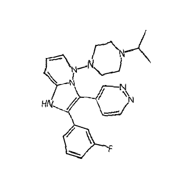 CC(C)N1CCN(N2C=CC=C3NC(c4cccc(F)c4)=C(c4ccnnc4)N32)CC1